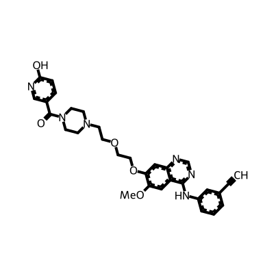 C#Cc1cccc(Nc2ncnc3cc(OCCOCCN4CCN(C(=O)c5ccc(O)nc5)CC4)c(OC)cc23)c1